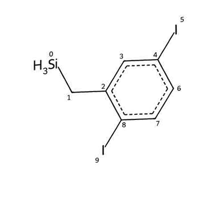 [SiH3]Cc1cc(I)ccc1I